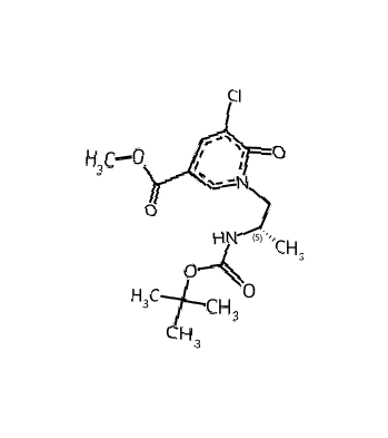 COC(=O)c1cc(Cl)c(=O)n(C[C@H](C)NC(=O)OC(C)(C)C)c1